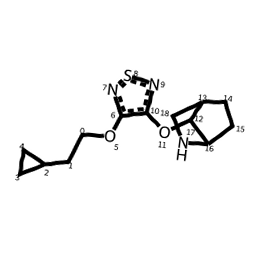 C(CC1CC1)Oc1nsnc1OC1C2CCC1NC2